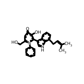 CC(C)=CCc1cccc2c(-c3c(O)c(=O)cc(CO)n3-c3ccccc3)c[nH]c12